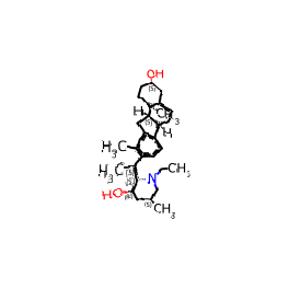 CCN1C[C@@H](C)C[C@@H](O)[C@@H]1[C@@H](C)c1ccc2c(c1C)C[C@H]1[C@H]2CC=C2C[C@@H](O)CC[C@@]21C